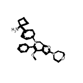 COC1=C(c2ccccc2)N(c2ccc(C3(N)CCC3)cc2)Cc2oc(N3CCOCC3)cc21